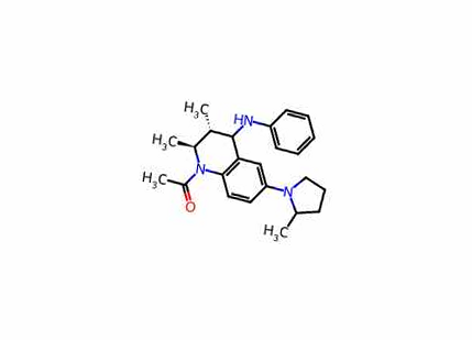 CC(=O)N1c2ccc(N3CCCC3C)cc2C(Nc2ccccc2)[C@@H](C)[C@@H]1C